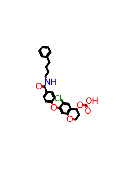 O=C(O)OC1CCOc2cc(Oc3ccc(C(=O)NCCCCc4ccccc4)cc3)c(Cl)cc21